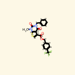 Cn1c(=O)n(Cc2ccccc2)c(=O)c2c(C(=O)OCc3ccc(C(F)(F)F)cc3)csc21